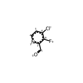 O=Cc1nccc(Cl)c1F